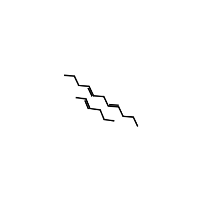 CC=CCCC.CCCC=CCC=CCCC